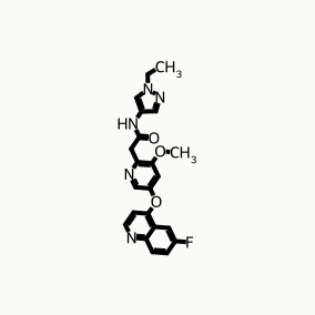 CCn1cc(NC(=O)Cc2ncc(Oc3ccnc4ccc(F)cc34)cc2OC)cn1